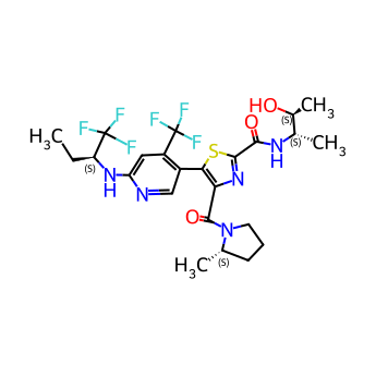 CC[C@H](Nc1cc(C(F)(F)F)c(-c2sc(C(=O)N[C@@H](C)[C@H](C)O)nc2C(=O)N2CCC[C@@H]2C)cn1)C(F)(F)F